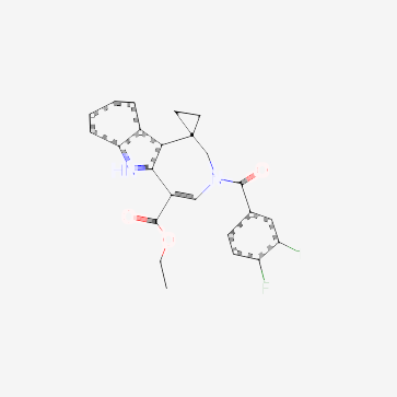 CCOC(=O)C1=CN(C(=O)c2ccc(F)c(F)c2)CC2(CC2)c2c1[nH]c1ccccc21